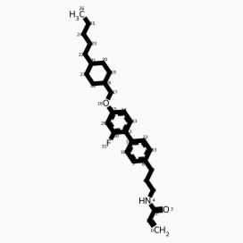 C=CC(=O)NCCCc1ccc(-c2ccc(OCC3CCC(CCCCC)CC3)cc2F)cc1